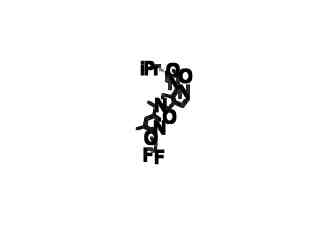 Cc1cc(C(C)N2Cc3c(ccnc3N3C[C@H](C(C)C)OC3=O)C2=O)cnc1OCC(F)F